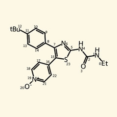 CCNC(=O)Nc1nc(-c2ccc(C(C)(C)C)cc2)c(-c2cc[n+]([O-])cc2)s1